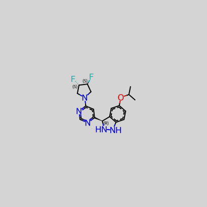 CC(C)Oc1ccc2c(c1)[C@H](c1cc(N3C[C@H](F)[C@@H](F)C3)ncn1)NN2